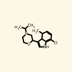 CC1C=CC(Cl)=C2NC=C(C3CN(C(C)C)CCO3)C21